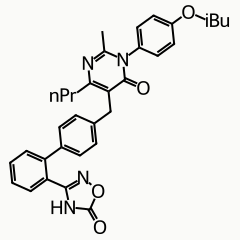 CCCc1nc(C)n(-c2ccc(OC(C)CC)cc2)c(=O)c1Cc1ccc(-c2ccccc2-c2noc(=O)[nH]2)cc1